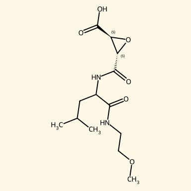 COCCNC(=O)C(CC(C)C)NC(=O)[C@H]1O[C@@H]1C(=O)O